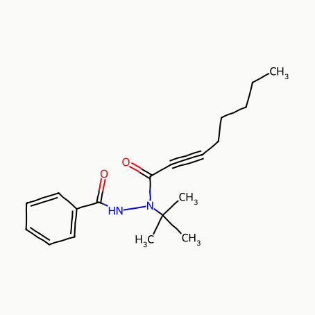 CCCCCC#CC(=O)N(NC(=O)c1ccccc1)C(C)(C)C